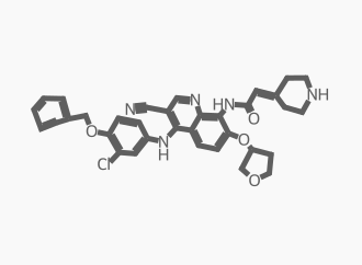 N#Cc1cnc2c(NC(=O)C=C3CCNCC3)c(OC3CCOC3)ccc2c1Nc1ccc(OCc2ccccc2)c(Cl)c1